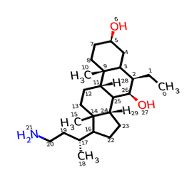 CC[C@@H]1C2C[C@H](O)CC[C@@]2(C)[C@H]2CCC3(C)C([C@H](C)CCN)CC[C@H]3C2[C@@H]1O